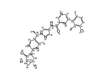 Cc1ccc(Cl)c(F)c1-c1cncc(C(=O)Nc2cnn([C@H](C)c3cnc(N4C[C@H]5C[C@H]5C4=O)nc3C)c2)n1